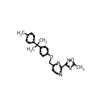 Cc1ccc(C(C)(C)c2ccc(OCc3ccnc(-c4noc(C)n4)n3)cc2)cc1